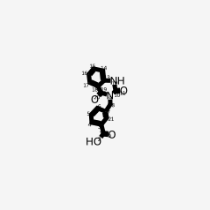 O=C(O)c1cccc(Cn2c(=O)[nH]c3ccccc3c2=O)c1